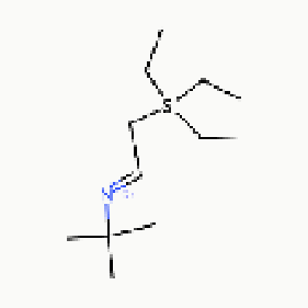 CC[Si](CC)(CC)C/C=N/C(C)(C)C